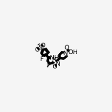 C[C@@H](CC(=N)c1ccc(S(C)(=O)=O)cc1F)c1nc(C2CCN(C(=O)O)CC2)no1